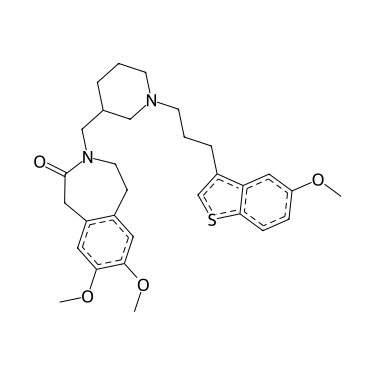 COc1ccc2scc(CCCN3CCCC(CN4CCc5cc(OC)c(OC)cc5CC4=O)C3)c2c1